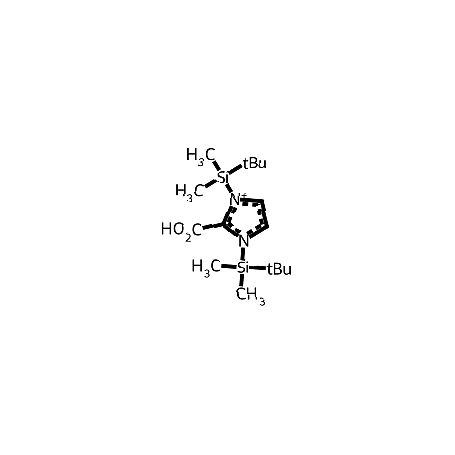 CC(C)(C)[Si](C)(C)n1cc[n+]([Si](C)(C)C(C)(C)C)c1C(=O)O